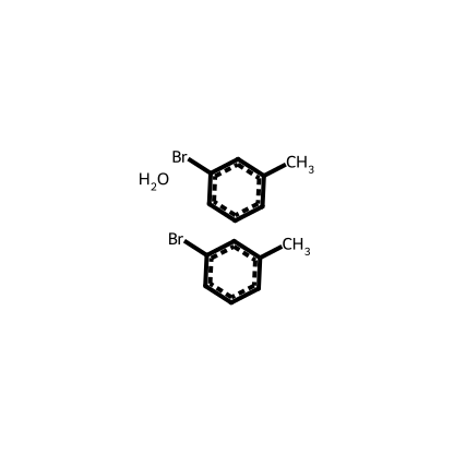 Cc1cccc(Br)c1.Cc1cccc(Br)c1.O